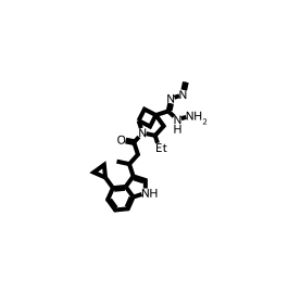 C=N/N=C(\NN)C12CC(CC)N(C(=O)CC(C)c3c[nH]c4cccc(C5CC5)c34)C(C1)C2